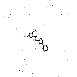 N#CN1CC(C(=O)Nc2ncc(-c3ccccc3)s2)C(C(F)(F)F)C1